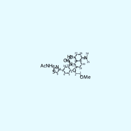 COCCOc1ccc(-c2csc(NC(C)=O)n2)cc1N(c1cccc2c(N(C)C)cccc12)[SH](=O)=O